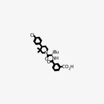 CC[C@@H](C)[C@@H](NC(=O)c1cccc(C(=O)O)c1)C(=O)N1CCC(c2ccc(Cl)cc2)C(C)(C)C1